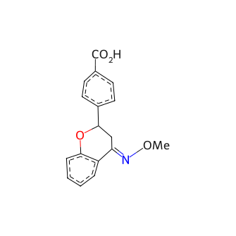 CO/N=C1\CC(c2ccc(C(=O)O)cc2)Oc2ccccc21